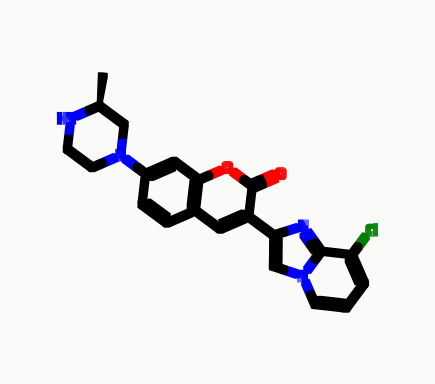 C[C@H]1CN(c2ccc3cc(-c4cn5cccc(Cl)c5n4)c(=O)oc3c2)CCN1